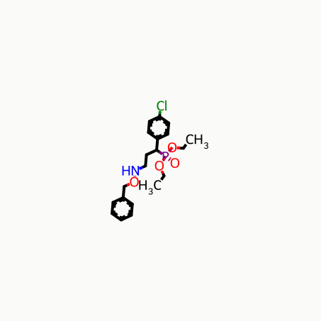 CCOP(=O)(OCC)C(CCNOCc1ccccc1)c1ccc(Cl)cc1